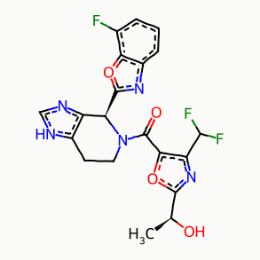 C[C@H](O)c1nc(C(F)F)c(C(=O)N2CCc3[nH]cnc3[C@H]2c2nc3cccc(F)c3o2)o1